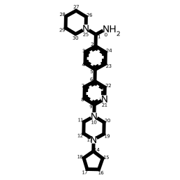 NC(c1ccc(-c2ccc(N3CCN(C4CCCC4)CC3)nc2)cc1)N1CCCCC1